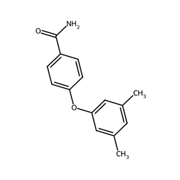 Cc1cc(C)cc(Oc2ccc(C(N)=O)cc2)c1